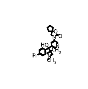 CC(C)c1ccc(C(O)(c2cncc(N3CC4(CCCC4)OC3=O)c2)C2(C)CN(C)C2)cc1